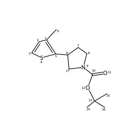 Cc1ccsc1C1CCN(C(=O)OC(C)(C)C)C1